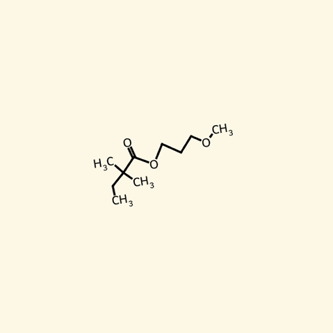 CCC(C)(C)C(=O)OCCCOC